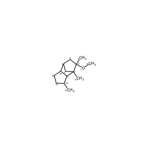 COC1(C)CC2CC1(C)C1C(C)CCC21